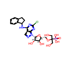 O=P(O)(O)C(CO)(CO)OC[C@H]1O[C@@H](n2ncc3c(NC4CCc5ccccc54)nc(Cl)nc32)[C@H](O)[C@@H]1O